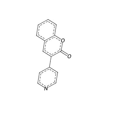 O=c1oc2ccccc2cc1-c1ccncc1